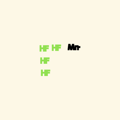 F.F.F.F.[Mn]